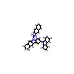 c1ccc2cc3c(cc2c1)nc1n3c2cc(-n3c4ccccc4c4ccccc43)cc3c4cc5ccccc5cc4n1c32